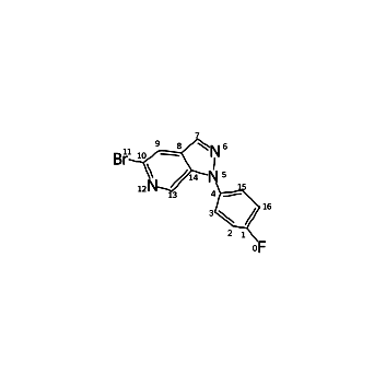 Fc1ccc(-n2ncc3cc(Br)ncc32)cc1